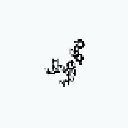 Cc1ccc2c(cnn2C2CCCCO2)c1N1CCc2c(nc(OC(C)CN(C)C)nc2N2CCNC(CC#N)C2)C1